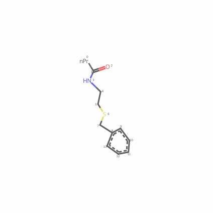 CCCC(=O)NCCSCc1ccccc1